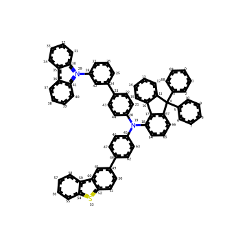 c1ccc(C2(c3ccccc3)c3ccccc3-c3c(N(c4ccc(-c5cccc(-n6c7ccccc7c7ccccc76)c5)cc4)c4ccc(-c5ccc6sc7ccccc7c6c5)cc4)cccc32)cc1